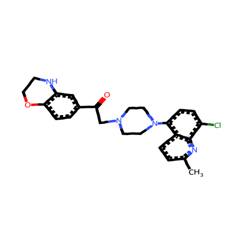 Cc1ccc2c(N3CCN(CC(=O)c4ccc5c(c4)NCCO5)CC3)ccc(Cl)c2n1